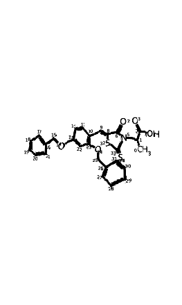 CC(C(=O)O)N1C(=O)C(=Cc2ccc(OCc3ccccc3)cc2OCc2ccccc2)SC1=S